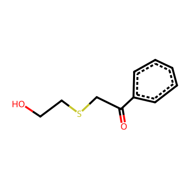 O=C(CSCCO)c1ccccc1